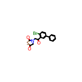 O=C1CN(CC(=O)c2cc(-c3ccccc3)ccc2Br)C(=O)S1